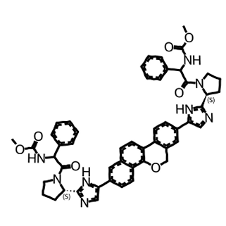 COC(=O)NC(C(=O)N1CCC[C@H]1c1ncc(-c2ccc3c(c2)COc2c-3ccc3cc(-c4cnc([C@@H]5CCCN5C(=O)C(NC(=O)OC)c5ccccc5)[nH]4)ccc23)[nH]1)c1ccccc1